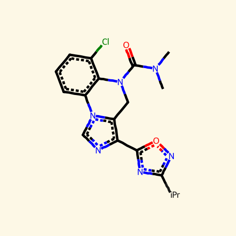 CC(C)c1noc(-c2ncn3c2CN(C(=O)N(C)C)c2c(Cl)cccc2-3)n1